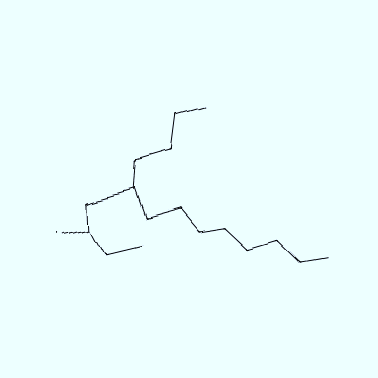 [CH2]C(CC)CC(CCCC)CCCCCCCC